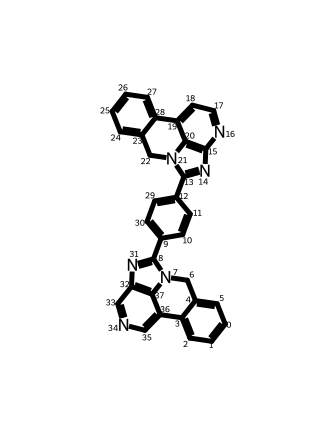 c1ccc2c(c1)Cn1c(-c3ccc(-c4nc5nccc6c5n4Cc4ccccc4-6)cc3)nc3cncc-2c31